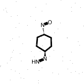 N=N[C@H]1CC[C@H](N=O)CC1